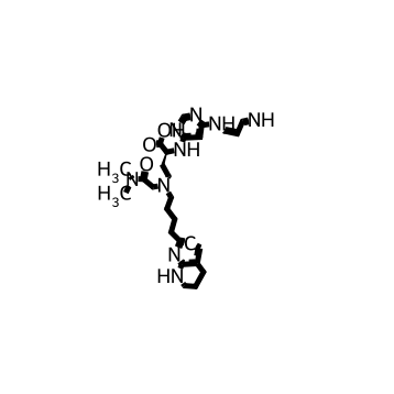 CN(C)C(=O)CN(CCCCc1ccc2c(n1)NCCC2)CC[C@H](Nc1cc(N/C=C\C=N)ncn1)C(=O)O